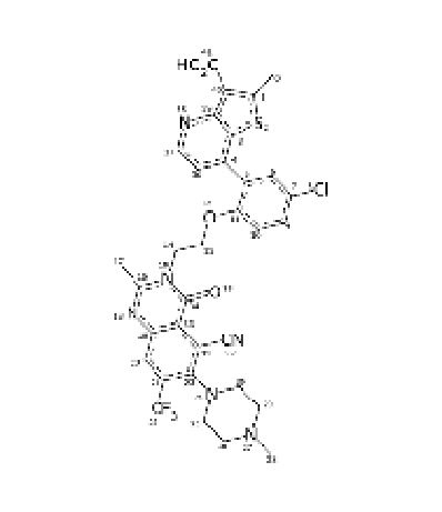 Cc1sc2c(-c3cc(Cl)ccc3OCCn3c(C)nc4cc(C(F)(F)F)c(N5CCN(C)CC5)c(C#N)c4c3=O)ccnc2c1C(=O)O